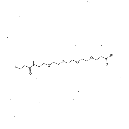 CC(C)C(=O)CCOCCOCCOCCOCCNC(=O)CCI